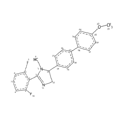 N#CN1C(c2c(F)cccc2F)=NCC1c1ccc(-c2ccc(OC(F)(F)F)cc2)cc1